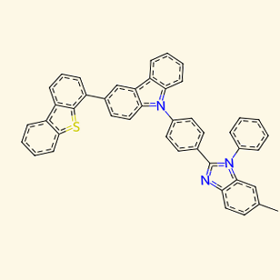 Cc1ccc2nc(-c3ccc(-n4c5ccccc5c5cc(-c6cccc7c6sc6ccccc67)ccc54)cc3)n(-c3ccccc3)c2c1